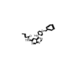 CC=CC(=O)Nc1cc2c(Nc3ccc(OCc4ccccc4)cc3)ncnc2cn1